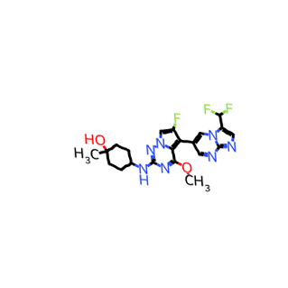 COc1nc(NC2CCC(C)(O)CC2)nn2cc(F)c(-c3cnc4ncc(C(F)F)n4c3)c12